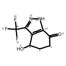 O=C1CCC(O)c2c(C(F)(F)F)n[nH]c21